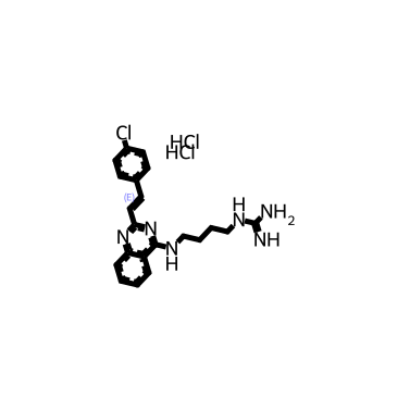 Cl.Cl.N=C(N)NCCCCNc1nc(/C=C/c2ccc(Cl)cc2)nc2ccccc12